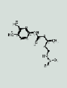 CC(CCN[S+]([O-])C(C)C)CC(=O)Nc1ccc(O)c(O)c1